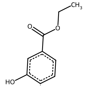 CCOC(=O)c1cc[c]c(O)c1